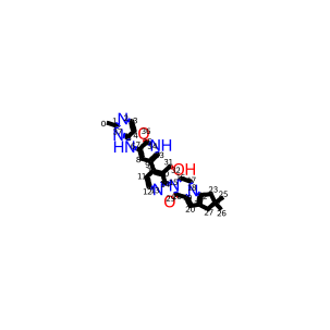 Cc1nccc(Nc2cc(-c3ccnc(N4CCn5c(cc6c5CC(C)(C)C6)C4=O)c3CO)c[nH]c2=O)n1